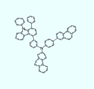 c1ccc(-c2ccc(-c3cccc(N(c4ccc(-c5ccc6c(ccc7ccccc76)c5)cc4)c4ccc5c(ccc6ccccc65)c4)c3)c3c4ccccc4n(-c4ccccc4)c23)cc1